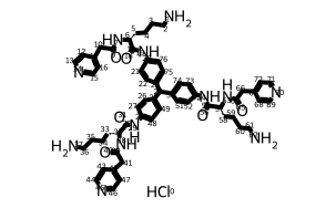 Cl.NCCCC[C@@H](NC(=O)Cc1ccncc1)C(=O)Nc1ccc(C(c2ccc(NC(=O)[C@@H](CCCCN)NC(=O)Cc3ccncc3)cc2)c2ccc(NC(=O)[C@@H](CCCCN)NC(=O)Cc3ccncc3)cc2)cc1